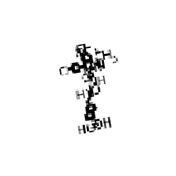 COc1ccc2c(c1)C(c1ccc(Cl)cc1)=N[C@@H](CC(=O)NCC(=O)NCCc1ccc3cc(B(O)O)ccc3c1)c1nnc(C)n1-2